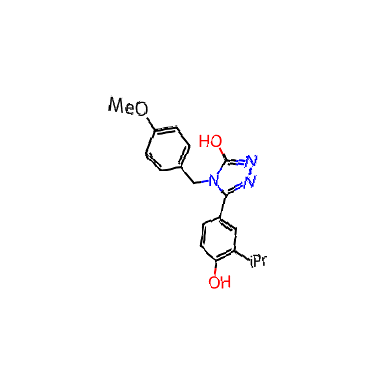 COc1ccc(Cn2c(O)nnc2-c2ccc(O)c(C(C)C)c2)cc1